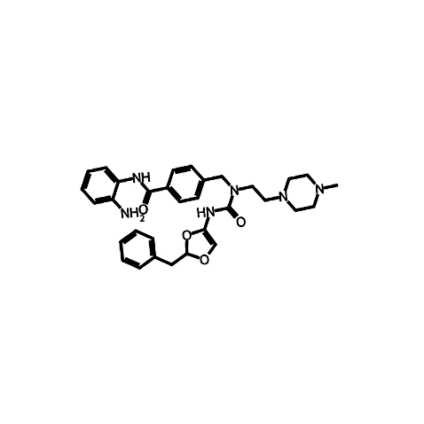 CN1CCN(CCN(Cc2ccc(C(=O)Nc3ccccc3N)cc2)C(=O)NC2=COC(Cc3ccccc3)O2)CC1